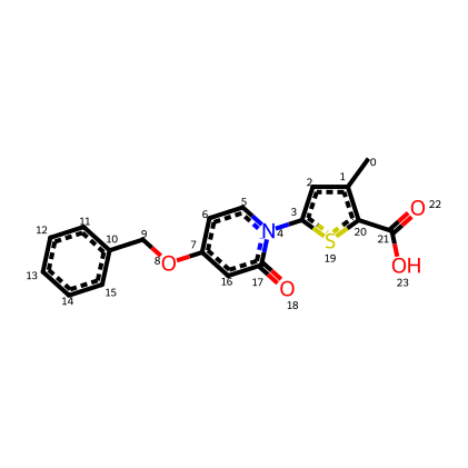 Cc1cc(-n2ccc(OCc3ccccc3)cc2=O)sc1C(=O)O